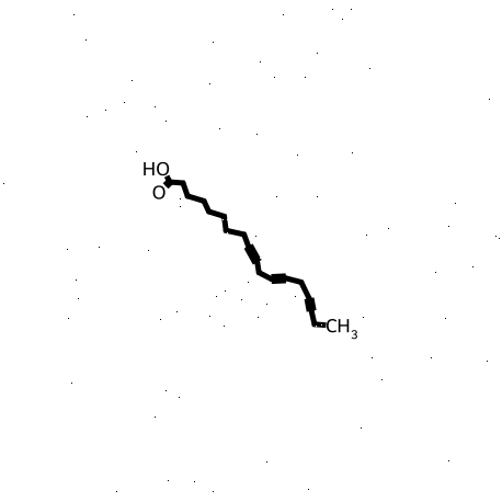 CCC#CCC#CCC#CCCCCCCCC(=O)O